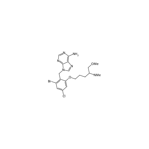 CNC(CCCOc1cc(Cl)cc(Br)c1Cn1cnc2c(N)ncnc21)COC